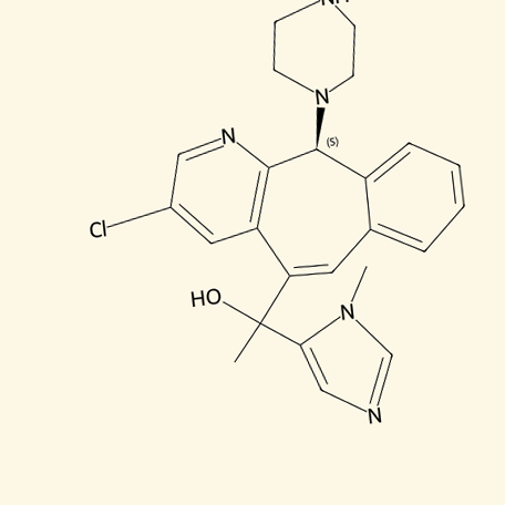 Cn1cncc1C(C)(O)C1=Cc2ccccc2[C@H](N2CCNCC2)c2ncc(Cl)cc21